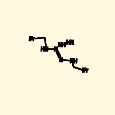 CC(C)CNN=NNCC(C)C.[HH].[HH]